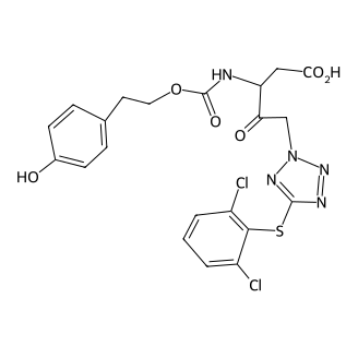 O=C(O)CC(NC(=O)OCCc1ccc(O)cc1)C(=O)Cn1nnc(Sc2c(Cl)cccc2Cl)n1